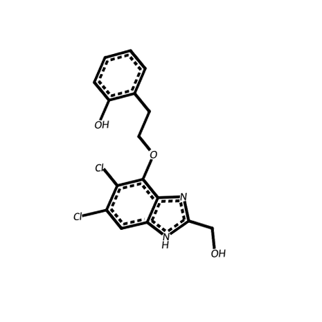 OCc1nc2c(OCCc3ccccc3O)c(Cl)c(Cl)cc2[nH]1